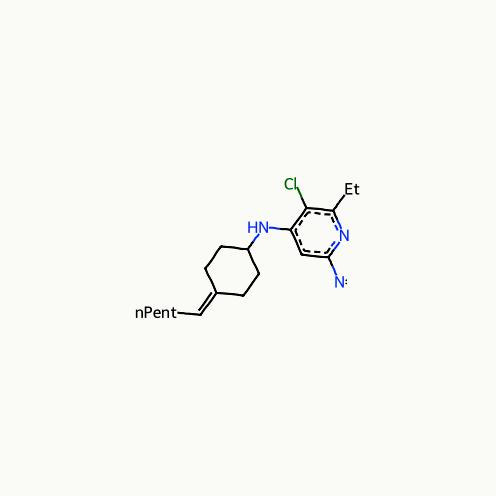 CCCCCC=C1CCC(Nc2cc([N])nc(CC)c2Cl)CC1